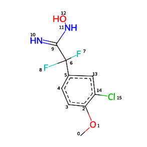 COc1ccc(C(F)(F)C(=N)NO)cc1Cl